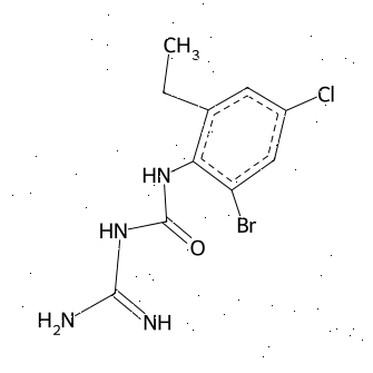 CCc1cc(Cl)cc(Br)c1NC(=O)NC(=N)N